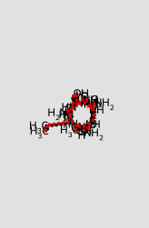 CCC(C)CCCCCCCCCCC1CC(=O)N[C@@H](CC(N)=O)C(=O)N[C@@H](Cc2ccc(O)cc2)C(=O)N[C@@H](CC(N)=O)C(=O)N[C@@H](CCC(N)=O)C(=O)NCCCCC(=O)N[C@@H](CC(N)=O)C(=O)N[C@H]([C@@H](C)O)C(=O)N1